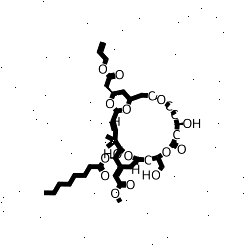 C=CCOC(=O)C[C@H]1CC2CCOCC[C@@H](O)CC(=O)OC(CO)C[C@@H]3C/C(=C\C(=O)OC)[C@H](OC(=O)CCCCCCC)[C@@](O)(O3)C(C)(C)/C=C/[C@H](O2)O1